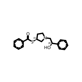 O=C(S[C@H]1CCN(C[C@H](O)c2ccccc2)C1)c1ccccc1